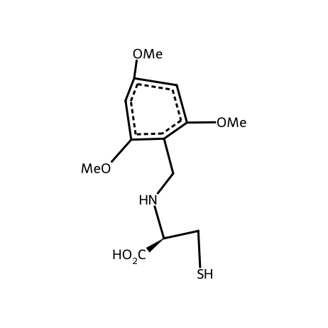 COc1cc(OC)c(CN[C@@H](CS)C(=O)O)c(OC)c1